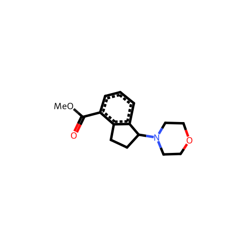 COC(=O)c1cccc2c1CCC2N1CCOCC1